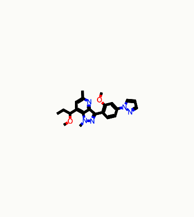 CCC(OC)c1cc(C)nc2c(-c3ccc(-n4cccn4)cc3OC)nn(C)c12